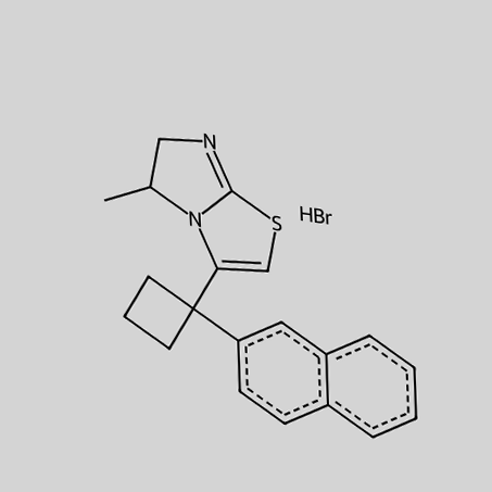 Br.CC1CN=C2SC=C(C3(c4ccc5ccccc5c4)CCC3)N21